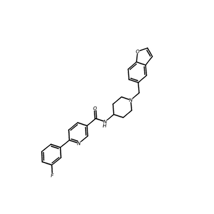 O=C(NC1CCN(Cc2ccc3occc3c2)CC1)c1ccc(-c2cccc(F)c2)nc1